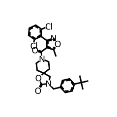 Cc1onc(-c2c(Cl)cccc2Cl)c1C(=O)N1CCC2(CC1)CN(Cc1ccc(C(C)(C)C)cc1)C(=O)O2